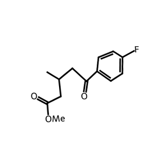 COC(=O)CC(C)CC(=O)c1ccc(F)cc1